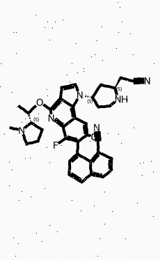 CC(Oc1nc2c(F)c(-c3cccc4cccc(C#N)c34)c(Cl)cc2c2c1ccn2[C@H]1CCN[C@H](CC#N)C1)[C@@H]1CCCN1C